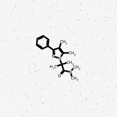 Cc1c(-c2ccccc2)nn(C(C)(C)C(=O)N(C)C)c1C